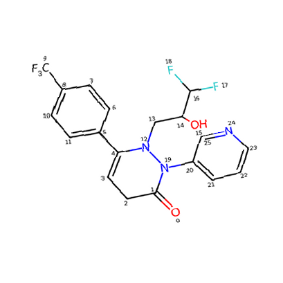 O=C1CC=C(c2ccc(C(F)(F)F)cc2)N(CC(O)C(F)F)N1c1cccnc1